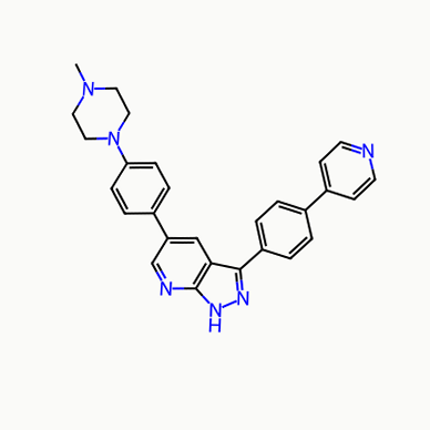 CN1CCN(c2ccc(-c3cnc4[nH]nc(-c5ccc(-c6ccncc6)cc5)c4c3)cc2)CC1